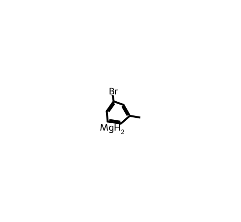 Cc1cccc(Br)c1.[MgH2]